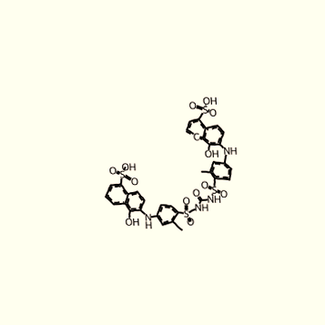 Cc1cc(Nc2ccc3c(S(=O)(=O)O)cccc3c2O)ccc1S(=O)(=O)NC(=O)NS(=O)(=O)c1ccc(Nc2ccc3c(S(=O)(=O)O)cccc3c2O)cc1C